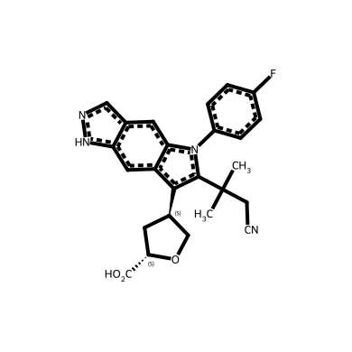 CC(C)(CC#N)c1c([C@H]2CO[C@H](C(=O)O)C2)c2cc3[nH]ncc3cc2n1-c1ccc(F)cc1